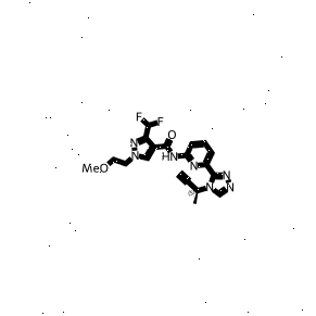 C#C[C@H](C)n1cnnc1-c1cccc(NC(=O)c2cn(CCOC)nc2C(F)F)n1